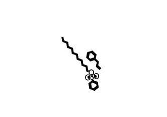 C=CCc1ccccc1.CCCCCCCCCCCCOS(=O)(=O)c1ccccc1